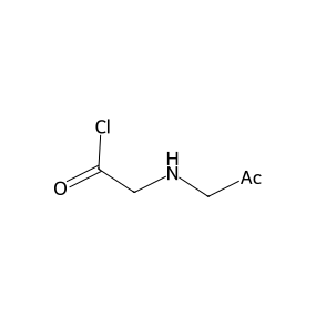 CC(=O)CNCC(=O)Cl